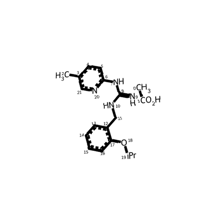 CC(=O)O.Cc1ccc(NC(=N)NCc2ccccc2OC(C)C)nc1